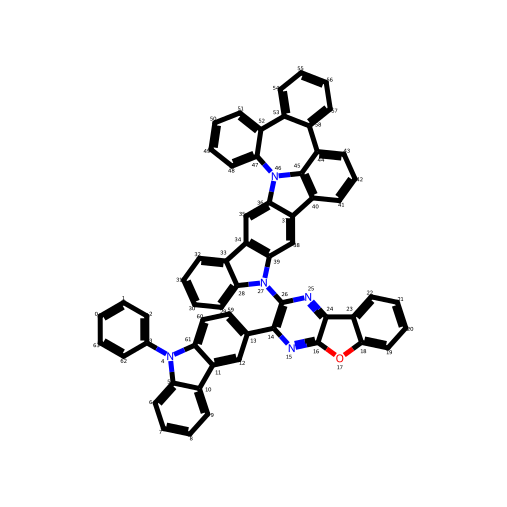 c1ccc(-n2c3ccccc3c3cc(-c4nc5oc6ccccc6c5nc4-n4c5ccccc5c5cc6c(cc54)c4cccc5c4n6-c4ccccc4-c4ccccc4-5)ccc32)cc1